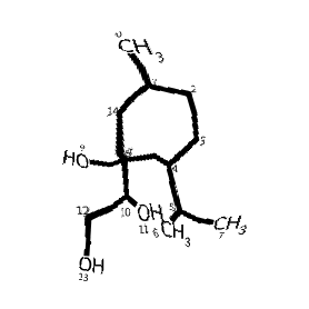 CC1CCC(C(C)C)C(O)(C(O)CO)C1